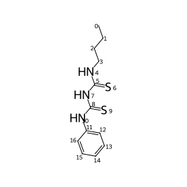 CCCCNC(=S)NC(=S)Nc1ccccc1